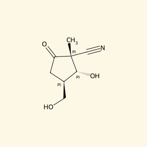 C[C@]1(C#N)C(=O)C[C@H](CO)[C@H]1O